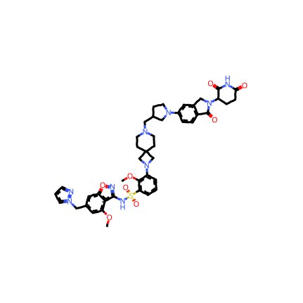 COc1c(N2CC3(CCN(CC4CCN(c5ccc6c(c5)CN(C5CCC(=O)NC5=O)C6=O)C4)CC3)C2)cccc1S(=O)(=O)Nc1noc2cc(Cn3cccn3)cc(OC)c12